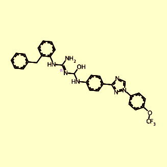 N/C(=N\C(O)Nc1ccc(-c2ncn(-c3ccc(OC(F)(F)F)cc3)n2)cc1)Nc1ccccc1Cc1ccccc1